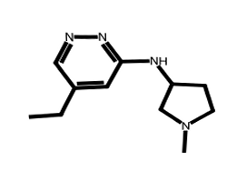 CCc1cnnc(NC2CCN(C)C2)c1